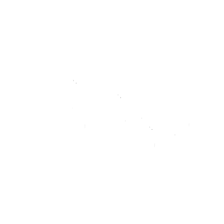 CCc1c(C(=O)Nc2ccc(F)c(C)c2)c(C)c(C(=O)C(=O)NCC(C)(C)O)n1C